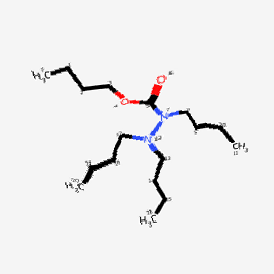 CCCCOC(=O)N(CCCC)N(CCCC)CCCC